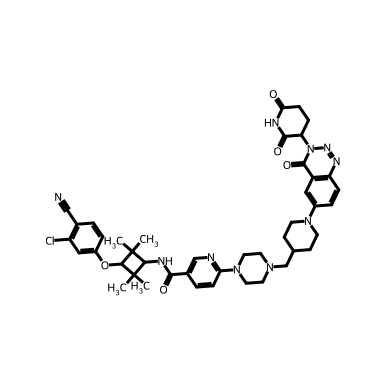 CC1(C)C(NC(=O)c2ccc(N3CCN(CC4CCN(c5ccc6nnn(C7CCC(=O)NC7=O)c(=O)c6c5)CC4)CC3)nc2)C(C)(C)C1Oc1ccc(C#N)c(Cl)c1